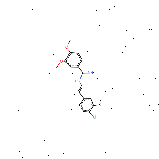 COc1ccc(C(=N)NC=Cc2ccc(Cl)c(Cl)c2)cc1OC